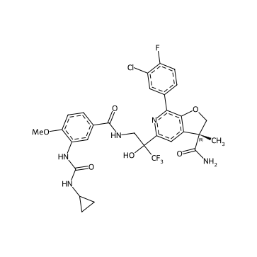 COc1ccc(C(=O)NCC(O)(c2cc3c(c(-c4ccc(F)c(Cl)c4)n2)OC[C@]3(C)C(N)=O)C(F)(F)F)cc1NC(=O)NC1CC1